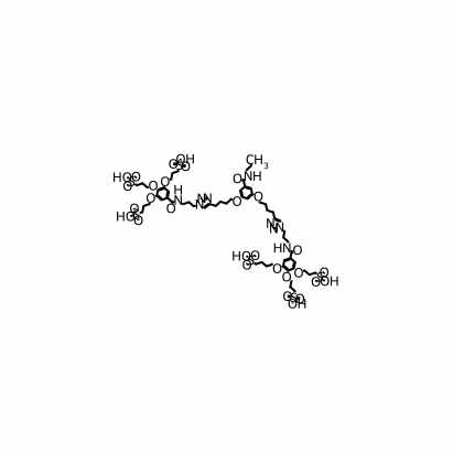 CCCNC(=O)c1cc(OCCCCc2cn(CCCNC(=O)c3cc(OCCCCS(=O)(=O)O)c(OCCCS(=O)(=O)O)c(OCCCS(=O)(=O)O)c3)nn2)cc(OCCCCc2cn(CCCNC(=O)c3cc(OCCCS(=O)(=O)O)c(OCCCS(=O)(=O)O)c(OCCCS(=O)(=O)O)c3)nn2)c1